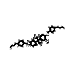 C=Nc1cc(C(c2ccc3oc(-c4ccc(CCCC)cc4)nc3c2)(C(F)(F)F)C(F)(F)F)ccc1OCc1ccc(CCCC)cc1